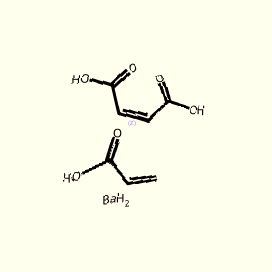 C=CC(=O)O.O=C(O)/C=C\C(=O)O.[BaH2]